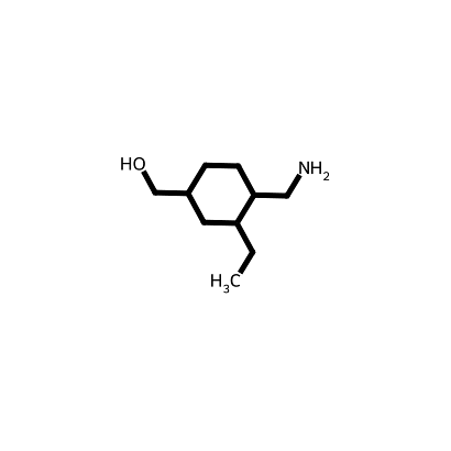 CCC1CC(CO)CCC1CN